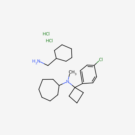 CN(C1CCCCCC1)C1(c2ccc(Cl)cc2)CCC1.Cl.Cl.NCC1CCCCC1